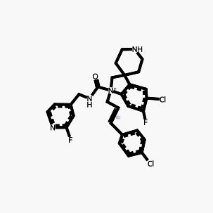 O=C(NCc1ccnc(F)c1)[N+]1(C/C=C/c2ccc(Cl)cc2)CC2(CCNCC2)c2cc(Cl)c(F)cc21